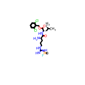 B#P(F)NC(=N)NCCC[C@@H](N)C(=O)N[C@@H](CC(C)C)C(=O)OCc1c(Cl)cccc1Cl